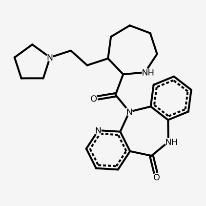 O=C1Nc2ccccc2N(C(=O)C2NCCCCC2CCN2CCCC2)c2ncccc21